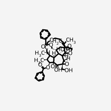 C=C(C)[C@]12C[C@@H](COC(=O)c3ccccc3)[C@@]34OC5(O[C@@H]1[C@@H]3[C@@H]1O[C@]1(CO)[C@@H](O)[C@@]1(O)[C@H]4[C@H]([C@H](C)[C@@H]1OC(=O)c1ccccc1)[C@H](C)CCCCCC[C@H]5O)O2